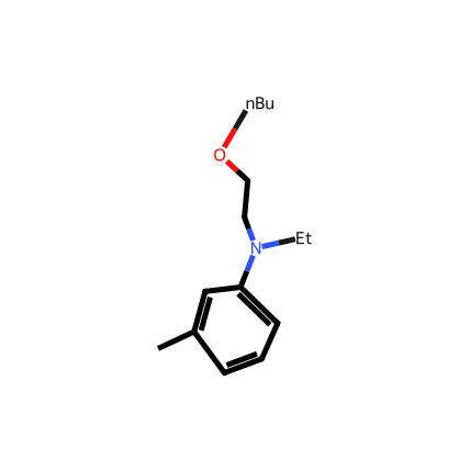 CCCCOCCN(CC)c1cccc(C)c1